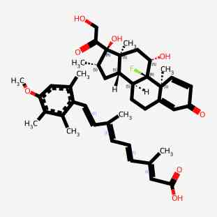 COc1cc(C)c(/C=C/C(C)=C/C=C/C(C)=C/C(=O)O)c(C)c1C.C[C@H]1C[C@H]2[C@@H]3CCC4=CC(=O)C=C[C@]4(C)[C@@]3(F)[C@@H](O)C[C@]2(C)[C@@]1(O)C(=O)CO